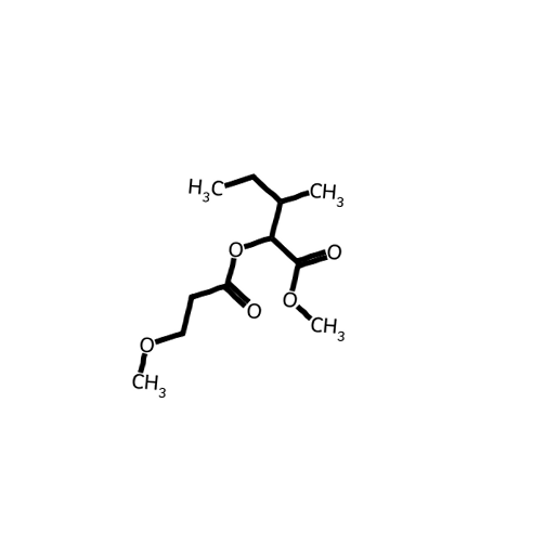 CCC(C)C(OC(=O)CCOC)C(=O)OC